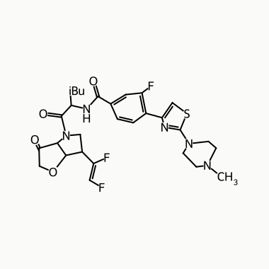 CCC(C)C(NC(=O)c1ccc(-c2csc(N3CCN(C)CC3)n2)c(F)c1)C(=O)N1CC(C(F)=CF)C2OCC(=O)C21